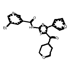 CCc1cncc(C(=O)Nc2nc(-c3ccoc3)c(C(=O)C3CCOCC3)s2)c1